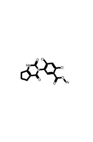 CC(C)OC(=O)c1cc(-n2c(=O)[nH]c3c(c2=O)CCC3)c(Cl)cc1Cl